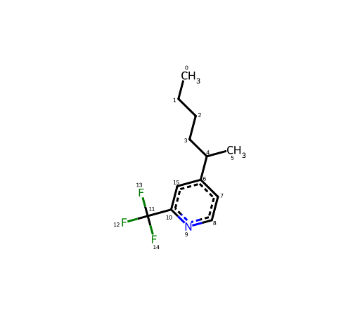 CCCCC(C)c1ccnc(C(F)(F)F)c1